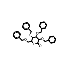 O=C1OC(COCc2ccccc2)[C@@H](OCc2ccccc2)[C@@H](OCc2ccccc2)C1OCc1ccccc1